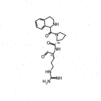 N=C(N)NCCC[C@@H]([C]=O)NC(=O)[C@H]1CCCN1C(=O)C1NCCc2ccccc21